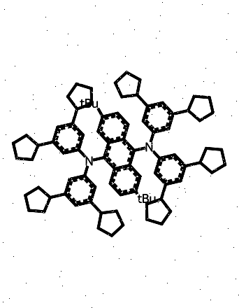 CC(C)(C)c1ccc2c(N(c3cc(C4CCCC4)cc(C4CCCC4)c3)c3cc(C4CCCC4)cc(C4CCCC4)c3)c3cc(C(C)(C)C)ccc3c(N(c3cc(C4CCCC4)cc(C4CCCC4)c3)c3cc(C4CCCC4)cc(C4CCCC4)c3)c2c1